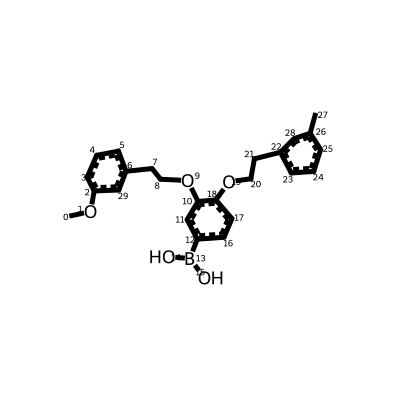 COc1cccc(CCOc2cc(B(O)O)ccc2OCCc2cccc(C)c2)c1